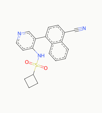 N#Cc1ccc(-c2cnccc2NS(=O)(=O)C2CCC2)c2ccccc12